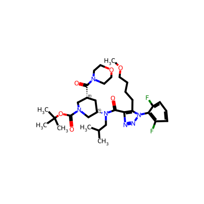 COCCCCc1c(C(=O)N(CC(C)C)[C@H]2C[C@@H](C(=O)N3CCOCC3)CN(C(=O)OC(C)(C)C)C2)nnn1-c1c(F)cccc1F